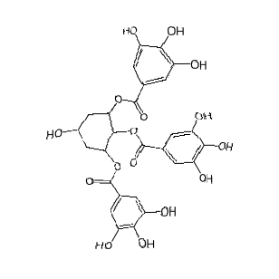 O=C(OC1CC(O)CC(OC(=O)c2cc(O)c(O)c(O)c2)C1OC(=O)c1cc(O)c(O)c(O)c1)c1cc(O)c(O)c(O)c1